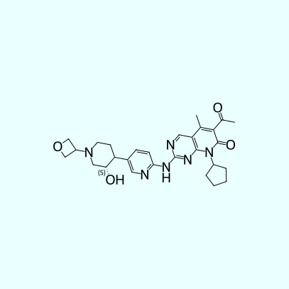 CC(=O)c1c(C)c2cnc(Nc3ccc(C4CCN(C5COC5)C[C@H]4O)cn3)nc2n(C2CCCC2)c1=O